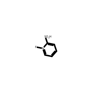 O=S(=O)(O)c1cccc[n+]1F